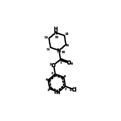 O=C(Oc1ccnc(Cl)c1)N1CCNCC1